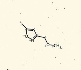 COCc1cc(I)on1